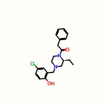 CC[C@H]1CN(Cc2cc(Cl)ccc2O)CCN1C(=O)Cc1ccccc1